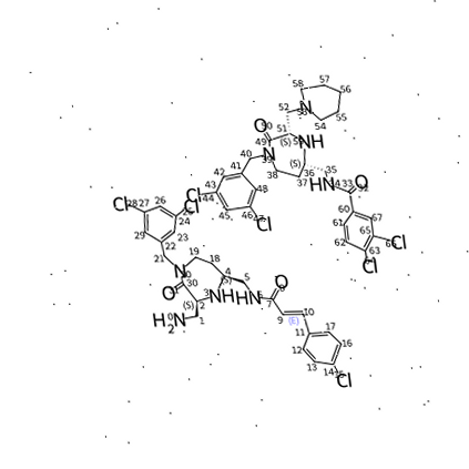 NC[C@@H]1N[C@H](CNC(=O)/C=C/c2ccc(Cl)cc2)CCN(Cc2cc(Cl)cc(Cl)c2)C1=O.O=C(NC[C@@H]1CCN(Cc2cc(Cl)cc(Cl)c2)C(=O)[C@H](CN2CCCCC2)N1)c1ccc(Cl)c(Cl)c1